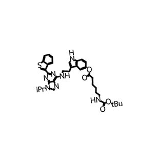 CC(C)n1cnc2c(NCCc3c[nH]c4ccc(OC(=O)CCCCCNC(=O)OC(C)(C)C)cc34)nc(-c3csc4ccccc34)nc21